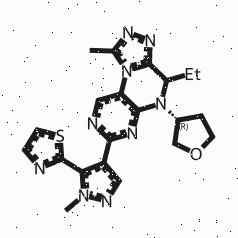 CCC1c2nnc(C)n2-c2cnc(-c3cnn(C)c3-c3nccs3)nc2N1[C@@H]1CCOC1